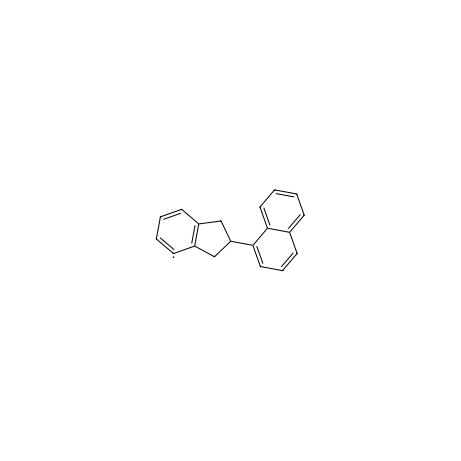 [c]1cccc2c1CC(c1cccc3ccccc13)C2